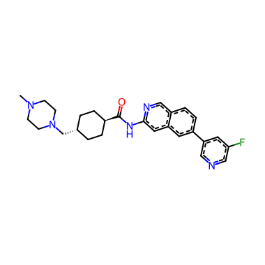 CN1CCN(C[C@H]2CC[C@H](C(=O)Nc3cc4cc(-c5cncc(F)c5)ccc4cn3)CC2)CC1